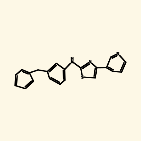 c1ccc(Cc2cccc(Nc3nc(-c4cccnc4)cs3)c2)cc1